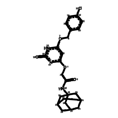 O=C(COc1cc(OCc2ccc(Cl)cc2)[nH]c(=O)n1)NC12CC3CC(CC(C3)C1)C2